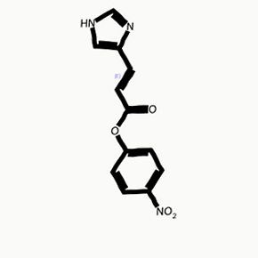 O=C(/C=C/c1c[nH]cn1)Oc1ccc([N+](=O)[O-])cc1